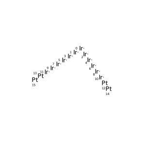 [Ir].[Ir].[Ir].[Ir].[Ir].[Ir].[Ir].[Ir].[Ir].[Ir].[Ir].[Ir].[Pt].[Pt].[Pt].[Pt]